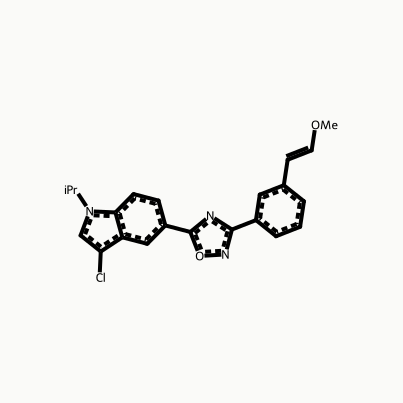 COC=Cc1cccc(-c2noc(-c3ccc4c(c3)c(Cl)cn4C(C)C)n2)c1